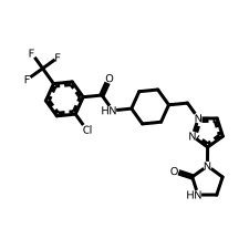 O=C(NC1CCC(Cn2ccc(N3CCNC3=O)n2)CC1)c1cc(C(F)(F)F)ccc1Cl